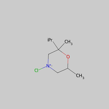 CC1C[N+](Cl)CC(C)(C(C)C)O1